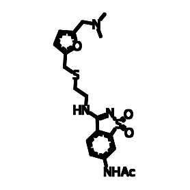 CC(=O)Nc1ccc2c(c1)S(=O)(=O)N=C2NCCSCc1ccc(CN(C)C)o1